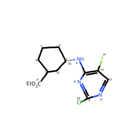 CCOC(=O)C1CCC[C@H](Nc2nc(Cl)ncc2F)C1